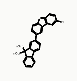 CCCCCCCCC1(CCCCCCCC)c2ccccc2-c2ccc(-c3ccc4oc5ccc(Cl)cc5c4c3)cc21